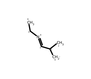 [CH2]C(C)C=NCC